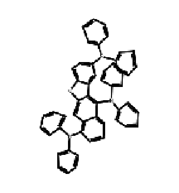 c1ccc(N(c2ccccc2)c2ccc3oc4cc5c(N(c6ccccc6)c6ccccc6)cccc5c(N(c5ccccc5)c5ccccc5)c4c3c2)cc1